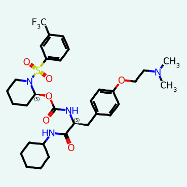 CN(C)CCOc1ccc(C[C@H](NC(=O)O[C@H]2CCCCN2S(=O)(=O)c2cccc(C(F)(F)F)c2)C(=O)NC2CCCCC2)cc1